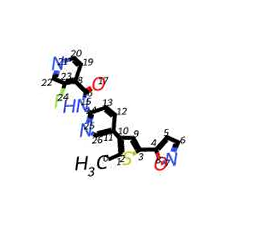 Cc1sc(-c2ccno2)cc1-c1ccc(NC(=O)c2ccncc2F)nc1